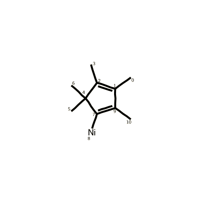 CC1=C(C)C(C)(C)[C]([Ni])=C1C